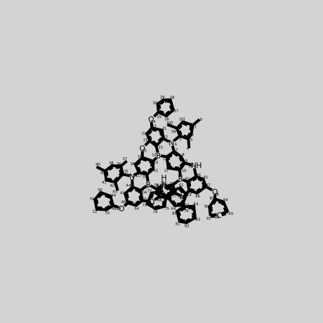 Cc1cc(C)c(N2c3cc4c(cc3B3c5cc6c(cc5Oc5cc(Oc7ccccc7)cc2c53)N(c2c(C)cc(C)cc2C)c2cc(Oc3ccccc3)cc3c2B6c2[nH]c5ccccc5c2O3)B2c3[nH]c5ccccc5c3N(c3ccccc3)c3cc(Oc5ccccc5)cc(c32)N4)c(C)c1